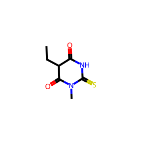 CCC1C(=O)NC(=S)N(C)C1=O